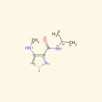 CNc1csnc1C(=O)NC(C)C